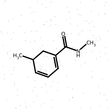 CNC(=O)C1=CC=CC(C)C1